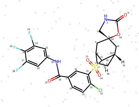 O=C1NC[C@@]2(CC3CC[C@@H](C2)[C@H]3S(=O)(=O)c2cc(C(=O)Nc3cc(F)c(F)c(F)c3)ccc2Cl)O1